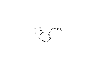 CCc1cccn2c[c]nc12